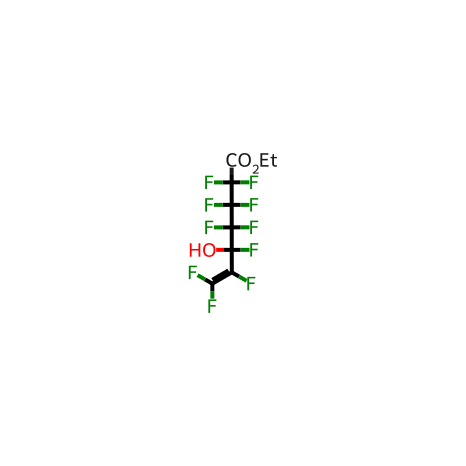 CCOC(=O)C(F)(F)C(F)(F)C(F)(F)C(O)(F)C(F)=C(F)F